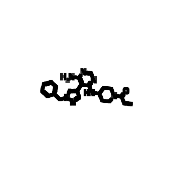 C=CC(=O)N1CCC(Nc2ncnc(N)c2-c2cnn(Cc3ccccc3)c2)CC1